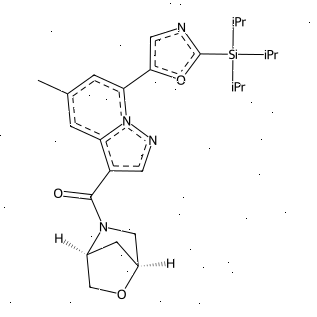 Cc1cc(-c2cnc([Si](C(C)C)(C(C)C)C(C)C)o2)n2ncc(C(=O)N3C[C@@H]4C[C@H]3CO4)c2c1